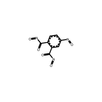 O=NC(=O)c1ccc(N=O)cc1C(=O)N=O